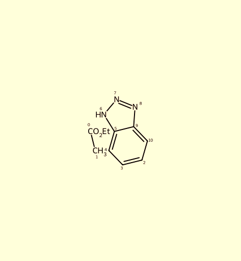 CCOC(C)=O.c1ccc2[nH]nnc2c1